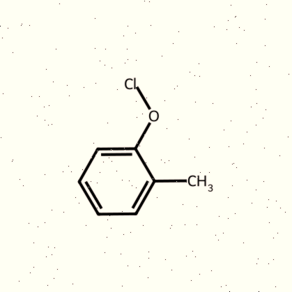 Cc1ccccc1OCl